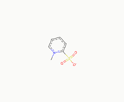 C[n+]1ccccc1S(=O)(=O)[O-]